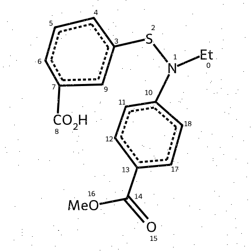 CCN(Sc1cccc(C(=O)O)c1)c1ccc(C(=O)OC)cc1